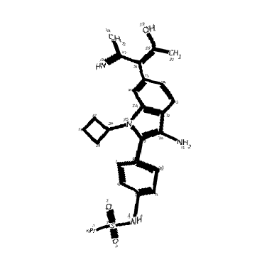 CCCS(=O)(=O)Nc1ccc(-c2c(N)c3ccc(/C(C(C)=N)=C(\C)O)cc3n2C2CCC2)cc1